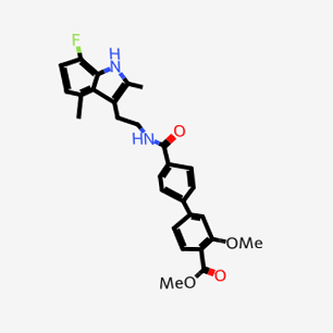 COC(=O)c1ccc(-c2ccc(C(=O)NCCc3c(C)[nH]c4c(F)ccc(C)c34)cc2)cc1OC